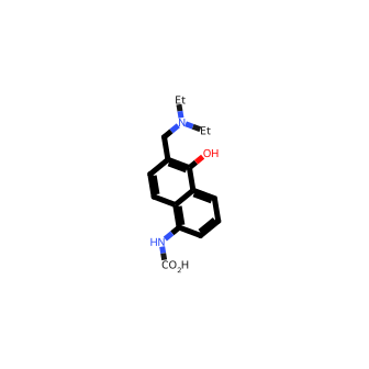 CCN(CC)Cc1ccc2c(NC(=O)O)cccc2c1O